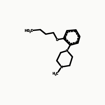 CN1CCN(c2ccccc2OCCCC(=O)O)CC1